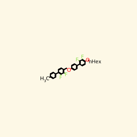 CCCCCCOc1ccc(-c2ccc(OCc3ccc(-c4ccc(C)cc4)c(F)c3F)cc2)c(F)c1F